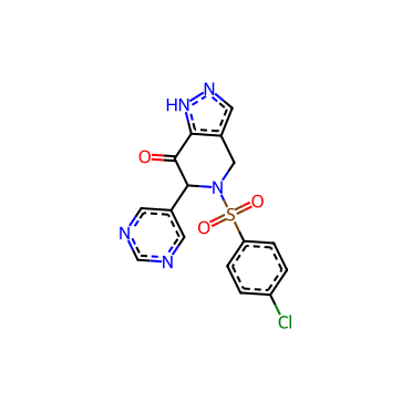 O=C1c2[nH]ncc2CN(S(=O)(=O)c2ccc(Cl)cc2)C1c1cncnc1